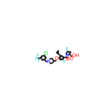 O=C(O)[C@@H]1C[C@H](F)CN1C(=O)c1cc(C2CC2)c(OCC2CCN(Cc3cc(Cl)cc(C(F)(F)F)c3)CC2)cc1F